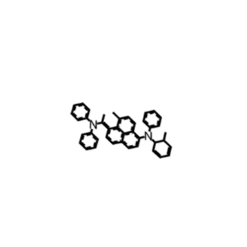 C/C(=c1/ccc2ccc(N(c3ccccc3)C3C=CC=CC3C)c3ccc(C)c1c23)N(c1ccccc1)c1ccccc1